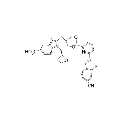 N#Cc1ccc(COc2cccc(C3OCC(Cc4nc5cc(C(=O)O)ccc5n4C[C@@H]4CCO4)CO3)n2)c(F)c1